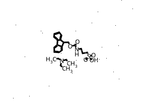 CCN(CC)CC.O=C(NCCCS(=O)(=O)O)OCC1c2ccccc2-c2ccccc21